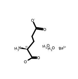 N[C@@H](CCC(=O)[O-])C(=O)[O-].O.O.[Ba+2]